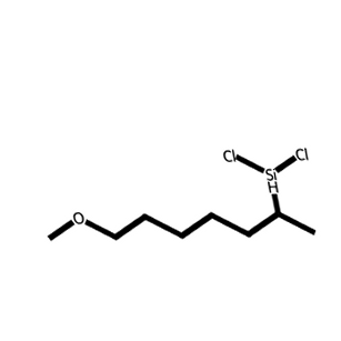 COCCCCCC(C)[SiH](Cl)Cl